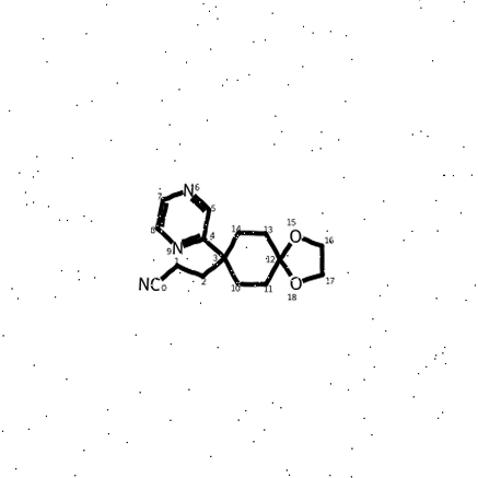 N#CCCC1(c2cnccn2)CCC2(CC1)OCCO2